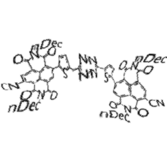 [C-]#[N+]c1cc2c3c(c(-c4ccc(-c5nnc(-c6ccc(-c7cc8c9c(c(C#N)cc%10c9c7C(=O)N(CCCCCCCCCC)C%10=O)C(=O)N(CCCCCCCCCC)C8=O)s6)nn5)s4)cc4c3c1C(=O)N(CCCCCCCCCC)C4=O)C(=O)N(CCCCCCCCCC)C2=O